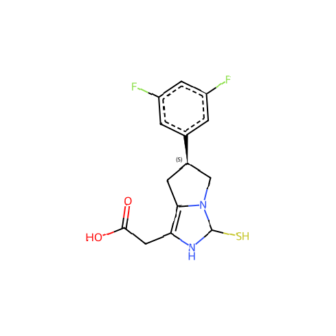 O=C(O)CC1=C2C[C@@H](c3cc(F)cc(F)c3)CN2C(S)N1